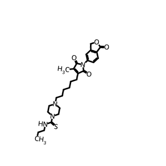 CCCNC(=S)N1CCN(CCCCCCC2=C(C)C(=O)N(c3ccc4c(c3)COC4=O)C2=O)CC1